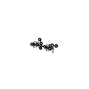 C[Si](C)(c1ccccc1)c1ccc(-c2c3ccccc3c(-c3ccc([Si](C)(C)c4ccc5c6c4C=CC4=CC=C(c7ccccc7)C(=CC5)C46)cc3)c3ccc(-c4ccccc4)cc23)cc1